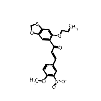 CCCOc1cc2c(cc1C(=O)/C=C/c1ccc(OC)c([N+](=O)[O-])c1)OCS2